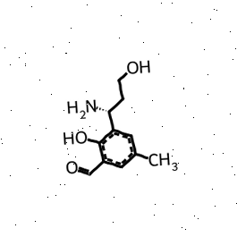 Cc1cc(C=O)c(O)c([C@H](N)CCO)c1